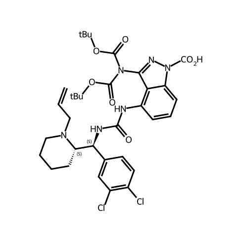 C=CCN1CCCC[C@H]1[C@@H](NC(=O)Nc1cccc2c1c(N(C(=O)OC(C)(C)C)C(=O)OC(C)(C)C)nn2C(=O)O)c1ccc(Cl)c(Cl)c1